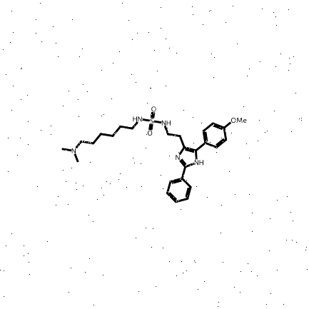 COc1ccc(-c2[nH]c(-c3ccccc3)nc2CCNS(=O)(=O)NCCCCCCN(C)C)cc1